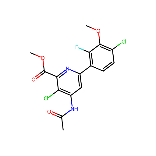 COC(=O)c1nc(-c2ccc(Cl)c(OC)c2F)cc(NC(C)=O)c1Cl